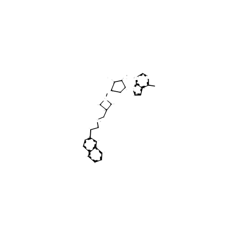 Cc1ncnc2c1ccn2[C@@H]1C[C@H](CN2CC(CNCCc3ccc4ccccc4c3)C2)[C@@H](O)[C@H]1O